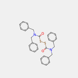 O=C(SSC(=O)N(Cc1ccccc1)Cc1ccccc1)N(Cc1ccccc1)Cc1ccccc1